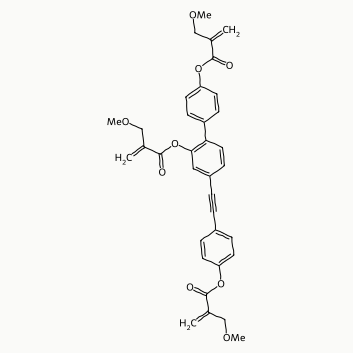 C=C(COC)C(=O)Oc1ccc(C#Cc2ccc(-c3ccc(OC(=O)C(=C)COC)cc3)c(OC(=O)C(=C)COC)c2)cc1